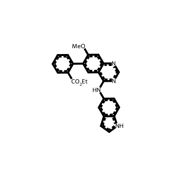 CCOC(=O)c1ccccc1-c1cc2c(Nc3ccc4[nH]ccc4c3)ncnc2cc1OC